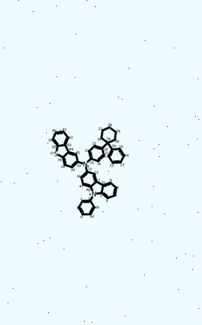 c1ccc(-n2c3ccccc3c3cc(N(c4ccc(C5(c6ccccc6)CCCCC5)cc4)c4ccc5sc6ccccc6c5c4)ccc32)cc1